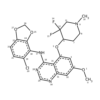 COc1cc(OC2CCN(C)CC2(F)F)c2c(Nc3c(Cl)ccc4c3OCO4)ncnc2c1